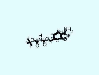 CC(C)(C)OC(=O)NC(=O)OCc1ccc2c(N)noc2c1